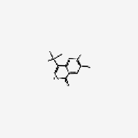 Cc1cc2c(=O)[nH]cc(C(C)(C)C)c2cc1F